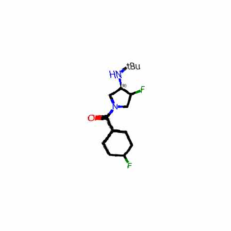 CC(C)(C)N[C@@H]1CN(C(=O)C2CCC(F)CC2)CC1F